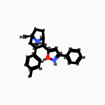 Cc1ccc([C@H]2C[C@H]3CCC(C2c2cc(-c4ccccc4)no2)N3C)cc1